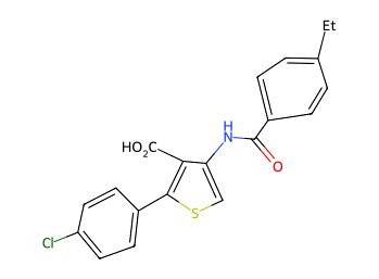 CCc1ccc(C(=O)Nc2csc(-c3ccc(Cl)cc3)c2C(=O)O)cc1